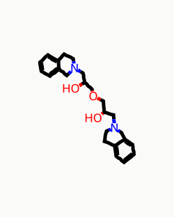 OC(COCC(O)CN1CCc2ccccc2C1)CN1CCc2ccccc2C1